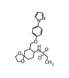 CCS(=O)(=O)NC1CCC2(CC1COc1ccc(-n3cccn3)cc1)OCCO2